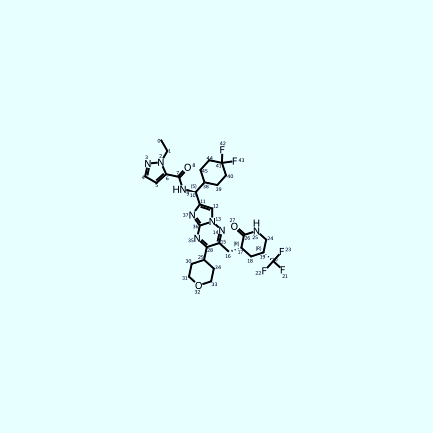 CCn1nccc1C(=O)N[C@H](c1cn2nc(C[C@H]3C[C@@H](C(F)(F)F)CNC3=O)c(C3CCOCC3)nc2n1)C1CCC(F)(F)CC1